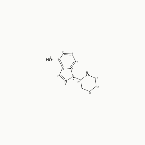 Oc1cccc2c1cnn2C1CCCCO1